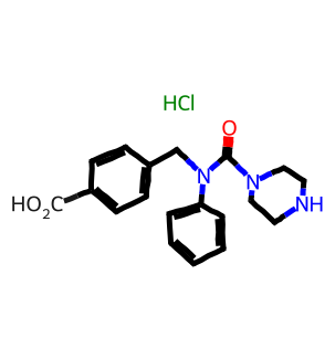 Cl.O=C(O)c1ccc(CN(C(=O)N2CCNCC2)c2ccccc2)cc1